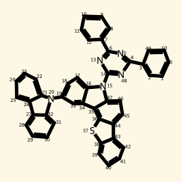 c1ccc(-c2nc(-c3ccccc3)nc(-n3c4ccc(-n5c6ccccc6c6ccccc65)cc4c4c5sc6ccccc6c5ccc43)n2)cc1